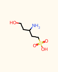 NC(CCO)CCS(=O)(=O)O